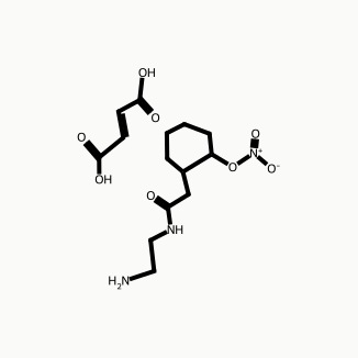 NCCNC(=O)CC1CCCCC1O[N+](=O)[O-].O=C(O)C=CC(=O)O